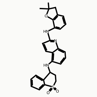 CC1(C)Cc2cccc(Nc3ccc4c(NC5CCS(=O)(=O)c6ccccc65)cccc4n3)c2O1